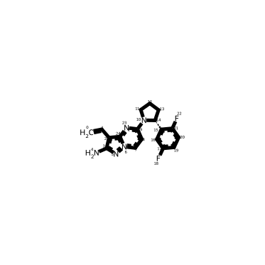 C=Cc1c(N)nn2ccc(N3CCC[C@@H]3c3cc(F)ccc3F)nc12